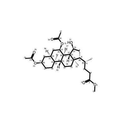 COC(=O)CC[C@@H](C)[C@H]1C[C@H](O)[C@H]2[C@@H]3[C@H](OC(C)=O)C[C@@H]4C[C@H](OC(C)=O)CC[C@]4(C)[C@H]3CC[C@@]21C